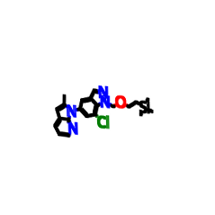 Cc1cc2cccnc2n1-c1cc(Cl)c2c(cnn2COCC[Si](C)(C)C)c1